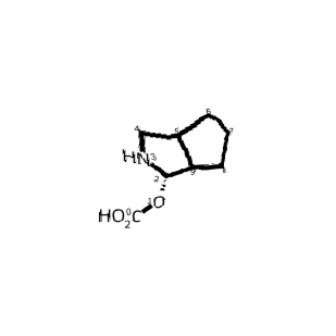 O=C(O)O[C@@H]1NCC2CCCC21